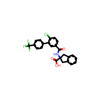 O=C(NC1(C(=O)O)Cc2ccccc2C1)c1ccc(Cl)c(-c2ccc(C(F)(F)F)cc2)c1